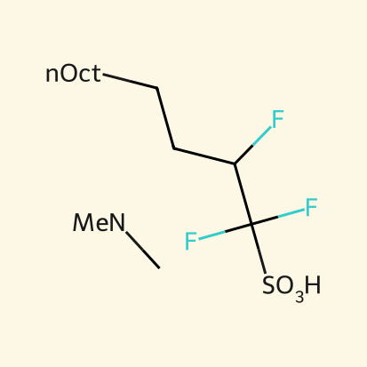 CCCCCCCCCCC(F)C(F)(F)S(=O)(=O)O.CNC